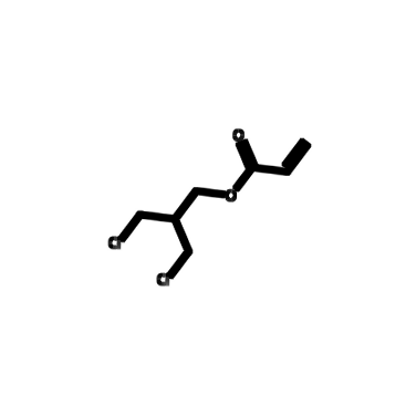 C=CC(=O)OCC(CCl)CCl